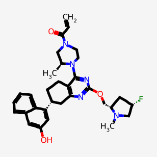 C=CC(=O)N1CCN(c2nc(OC[C@@H]3C[C@H](F)CN3C)nc3c2CC[C@@H](c2cc(O)cc4ccccc24)C3)[C@@H](C)C1